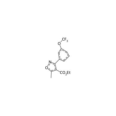 CCOC(=O)c1c(-c2cccc(OC(F)(F)F)c2)noc1C